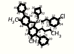 CCCCc1c(-c2ccccc2)c(C)cc2c1[CH]([Zr](=[CH]Cc1cccc(Cl)c1)[C]1=CC=CC1)c1cc(-c3ccccc3)c(C)cc1-2